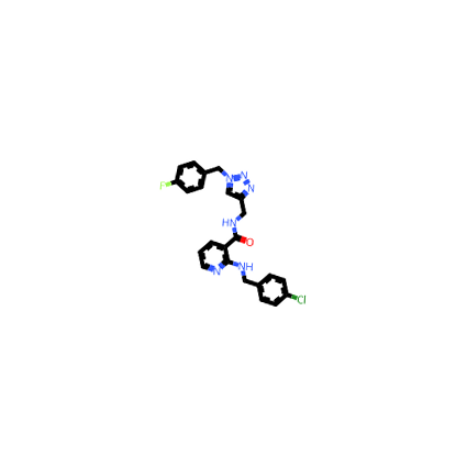 O=C(NCc1cn(Cc2ccc(F)cc2)nn1)c1cccnc1NCc1ccc(Cl)cc1